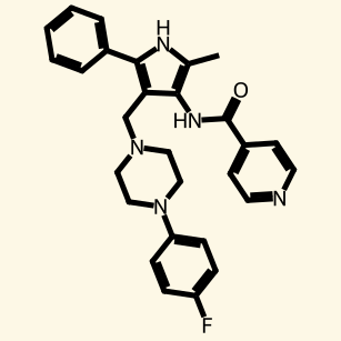 Cc1[nH]c(-c2ccccc2)c(CN2CCN(c3ccc(F)cc3)CC2)c1NC(=O)c1ccncc1